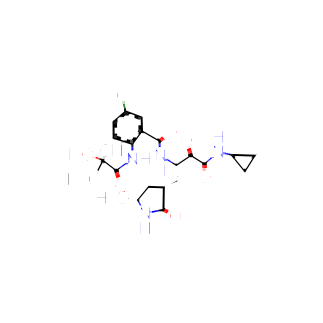 C[C@@H]1C[C@@H](C[C@H](NC(=O)c2cc(Cl)ccc2NC(=O)C(C)(C)O)C(=O)C(=O)NC2CC2)C(=O)N1